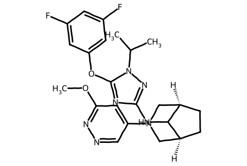 COc1cc(N2C[C@H]3CC[C@@H](C2)C3Nc2nc(Oc3cc(F)cc(F)c3)n(C(C)C)n2)cnn1